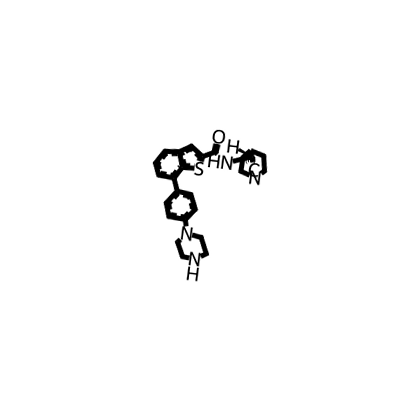 O=C(N[C@H]1CN2CCC1CC2)c1cc2cccc(-c3ccc(N4CCNCC4)cc3)c2s1